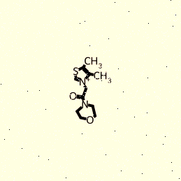 Cc1sc[n+](CC(=O)N2CCOCC2)c1C